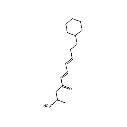 CC(CC(=O)C=CC=CCOC1CCCCO1)C(=O)O